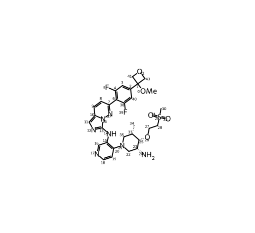 COC1(c2cc(F)c(-c3ccc4cnc(Nc5cnccc5N5C[C@@H](N)[C@@H](OCCS(C)(=O)=O)[C@@H](C)C5)n4n3)c(F)c2)COC1